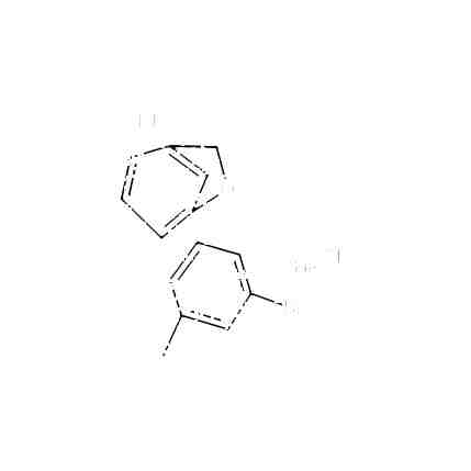 Cc1cccc(Br)c1.F.F.F.c1cc2cc(c1)OC2